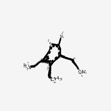 CCc1sc(N)c(C)c1COC(C)=O